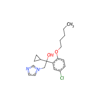 CCCCCOc1ccc(Cl)cc1C(O)(Cn1ccnc1)C1CC1